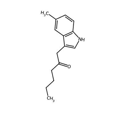 CCCCC(=O)Cc1c[nH]c2ccc(C)cc12